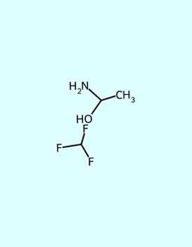 CC(N)O.FC(F)F